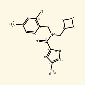 Cc1ccc(CN(CC2CCC2)C(=O)c2cc(C)n[nH]2)c(Cl)c1